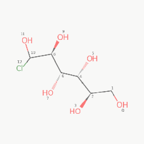 OC[C@@H](O)[C@@H](O)[C@H](O)[C@H](O)C(O)Cl